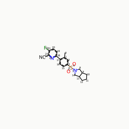 Cc1cc(S(=O)(=O)N2CC3CCCC3C2)ccc1-c1ccc(F)c(C#N)n1